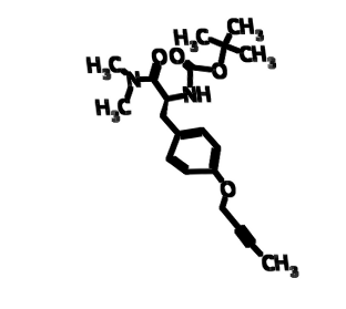 CC#CCOc1ccc(C[C@H](NC(=O)OC(C)(C)C)C(=O)N(C)C)cc1